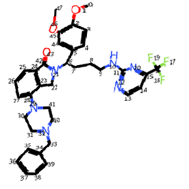 COc1ccc([C@@H](CCCNc2nccc(C(F)(F)F)n2)N2Cc3c(cccc3N3CCN(Cc4ccccc4)CC3)C2=O)cc1OC